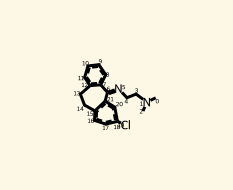 CN(C)CC/N=C1/c2ccccc2CCc2ccc(Cl)cc21